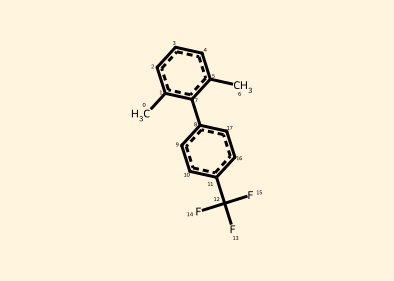 Cc1cccc(C)c1-c1ccc(C(F)(F)F)cc1